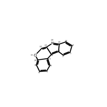 c1ccc2c3c4ccccc4occ-3nc2c1